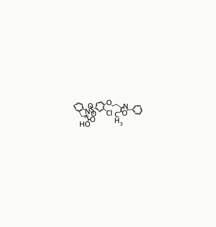 Cc1oc(-c2ccccc2)nc1CCOc1ccc(S(=O)(=O)N2c3ccccc3C[C@@H]2C(=O)O)cc1Cl